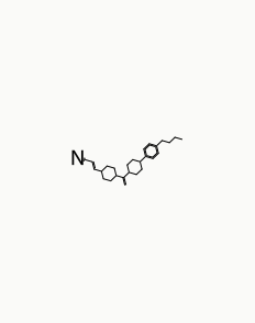 C=C(C1CCC(C=CC#N)CC1)C1CCC(c2ccc(CCCC)cc2)CC1